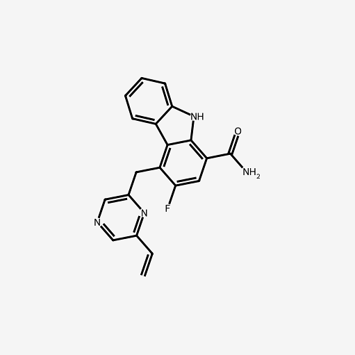 C=Cc1cncc(Cc2c(F)cc(C(N)=O)c3[nH]c4ccccc4c23)n1